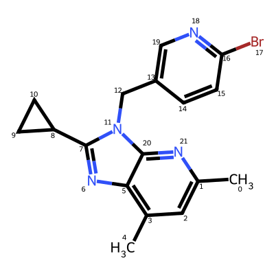 Cc1cc(C)c2nc(C3CC3)n(Cc3ccc(Br)nc3)c2n1